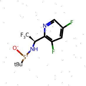 CC(C)(C)[S+]([O-])N[C@H](c1ncc(F)cc1F)C(F)(F)F